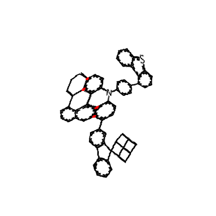 Cc1ccc(N(c2ccc(-c3ccc4c(c3)C3(c5ccccc5-4)C4CC5CC6CC3C564)cc2)c2ccc(-c3cccc4sc5ccccc5c34)cc2)c(-c2cccc3cccc(C4CCCCC4)c23)c1